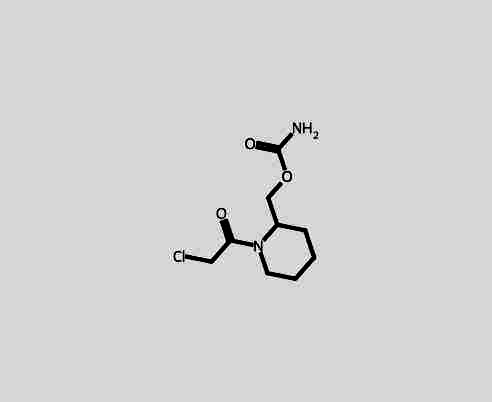 NC(=O)OCC1CCCCN1C(=O)CCl